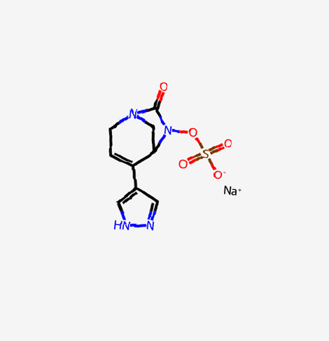 O=C1N2CC=C(c3cn[nH]c3)C(C2)N1OS(=O)(=O)[O-].[Na+]